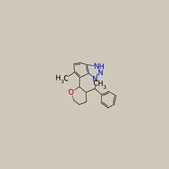 Cc1ccc2[nH]nnc2c1C1OCCCC1C(C)c1ccccc1